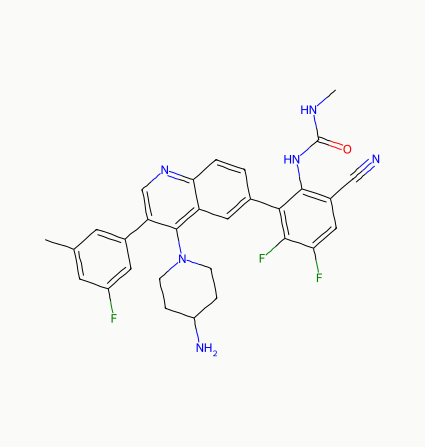 CNC(=O)Nc1c(C#N)cc(F)c(F)c1-c1ccc2ncc(-c3cc(C)cc(F)c3)c(N3CCC(N)CC3)c2c1